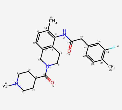 CC(=O)N1CCC(C(=O)N2CCc3c(ccc(C)c3NC(=O)Cc3ccc(C(F)(F)F)c(F)c3)C2)CC1